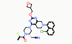 C=C(F)C(=O)N1CCN(c2nc(OCC3COC3)nc3c2CCN(c2cccc4cccc(Cl)c24)C3)C[C@@H]1CC#N